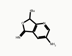 CC(C)(C)C1OC(=N)c2cc(N)cnc21